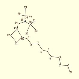 CCCCCCCCCCC1CCC1CP(C(C)(C)C)C(C)(C)C